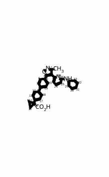 Cc1noc(-c2ccc(-c3ccc(C4(C(=O)O)CC4)cc3)cc2)c1-c1cccc(Nc2ccccc2)n1